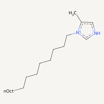 CCCCCCCCCCCCCCCC[n+]1c[nH]cc1C